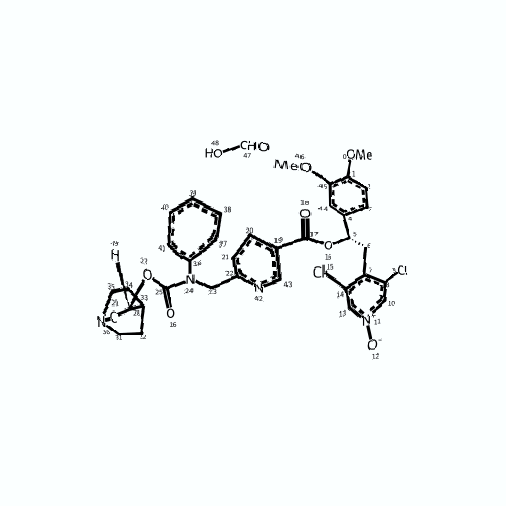 COc1ccc([C@H](Cc2c(Cl)c[n+]([O-])cc2Cl)OC(=O)c2ccc(CN(C(=O)O[C@H]3CN4CCC3CC4)c3ccccc3)nc2)cc1OC.O=CO